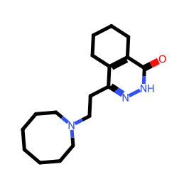 O=c1[nH]nc(CCN2CCCCCCC2)c2c1CCCC2